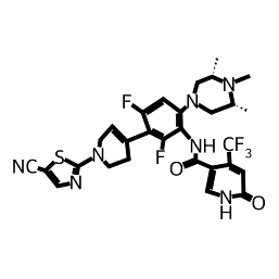 C[C@@H]1CN(c2cc(F)c(C3=CCN(c4ncc(C#N)s4)CC3)c(F)c2NC(=O)c2c[nH]c(=O)cc2C(F)(F)F)C[C@H](C)N1C